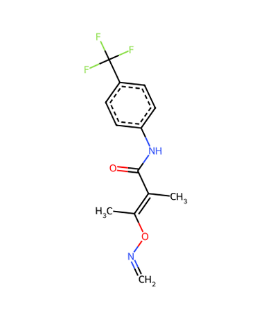 C=NO/C(C)=C(\C)C(=O)Nc1ccc(C(F)(F)F)cc1